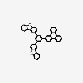 c1ccc2c(c1)oc1ccc(-c3cc(-c4ccc5oc6ccccc6c5c4)cc(-c4ccc5c6ccccc6c6ccccc6c5c4)c3)cc12